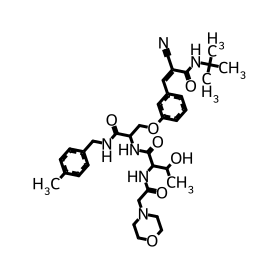 Cc1ccc(CNC(=O)C(COc2cccc(C=C(C#N)C(=O)NC(C)(C)C)c2)NC(=O)C(NC(=O)CN2CCOCC2)C(C)O)cc1